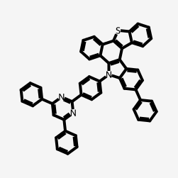 c1ccc(-c2ccc3c4c5c6ccccc6sc5c5ccccc5c4n(-c4ccc(-c5nc(-c6ccccc6)cc(-c6ccccc6)n5)cc4)c3c2)cc1